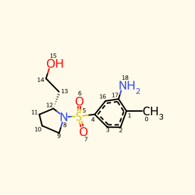 Cc1ccc(S(=O)(=O)N2CCC[C@@H]2CCO)cc1N